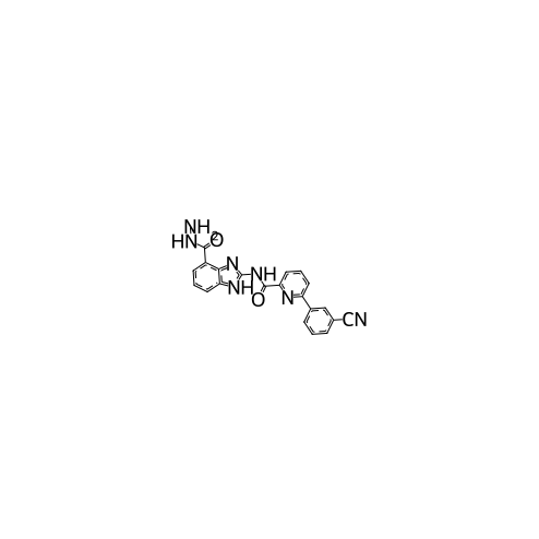 N#Cc1cccc(-c2cccc(C(=O)Nc3nc4c(C(=O)NN)cccc4[nH]3)n2)c1